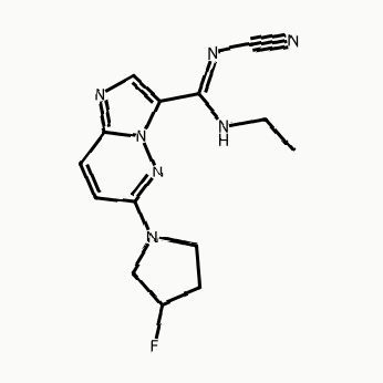 CCN/C(=N\C#N)c1cnc2ccc(N3CCC(F)C3)nn12